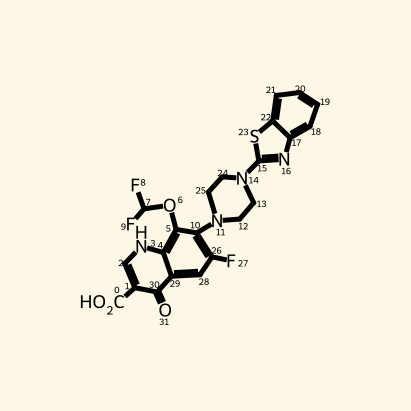 O=C(O)c1c[nH]c2c(OC(F)F)c(N3CCN(c4nc5ccccc5s4)CC3)c(F)cc2c1=O